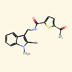 CC(C)(C)c1c(CNC(=O)c2ccc(C(=O)C(F)(F)F)s2)c2ccccc2n1C(=O)O